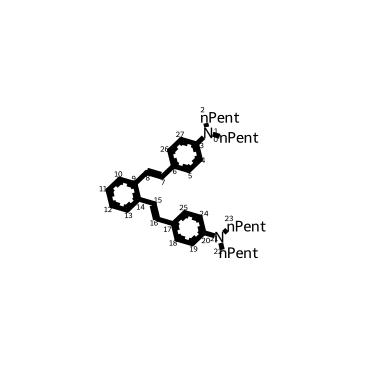 CCCCCN(CCCCC)c1ccc(C=Cc2ccccc2C=Cc2ccc(N(CCCCC)CCCCC)cc2)cc1